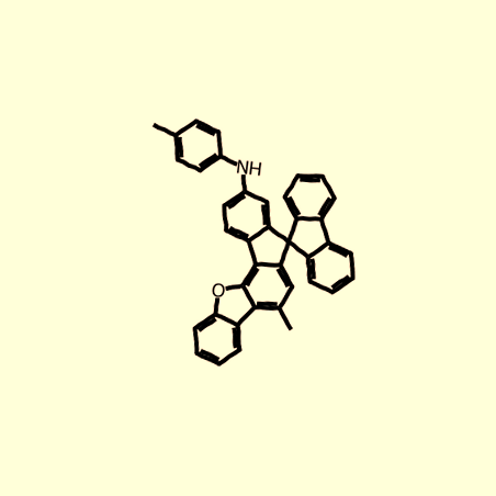 Cc1ccc(Nc2ccc3c(c2)C2(c4ccccc4-c4ccccc42)c2cc(C)c4c(oc5ccccc54)c2-3)cc1